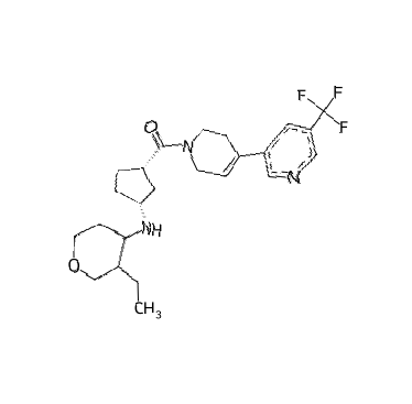 CCC1COCCC1N[C@@H]1CC[C@H](C(=O)N2CC=C(c3cncc(C(F)(F)F)c3)CC2)C1